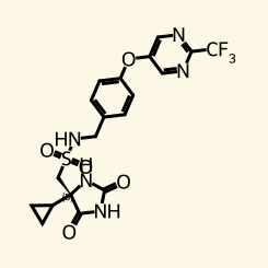 O=C1NC(=O)[C@](CS(=O)(=O)NCc2ccc(Oc3cnc(C(F)(F)F)nc3)cc2)(C2CC2)N1